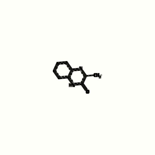 [CH2]c1nc2ccccc2[nH]c1=O